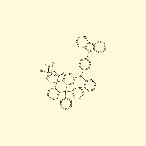 CC[C@@H]1C[C@H]2C[C@H](C)CC1CC21c2ccccc2C(c2ccccc2)(c2ccccc2)c2cc(N(c3ccccc3)c3ccc(-n4c5ccccc5c5ccccc54)cc3)ccc21